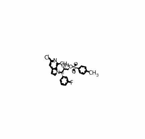 Cc1ccc(S(=O)(=O)OC[C@@H](O)[C@H](c2cccc(F)c2)n2ccc3cc(Cl)nc(C)c32)cc1